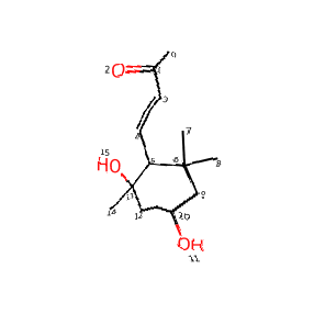 CC(=O)C=CC1C(C)(C)CC(O)CC1(C)O